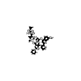 C=C[C@@H]1C[C@]1(NC(=O)[C@@H]1C[C@@H](Oc2cc(-c3ccccn3)nc3cc(OC)ccc23)CN1C(=O)[C@@H](CC(=O)N1CCCCC1)C(C)(C)C)C(=O)NS(=O)(=O)C1CC1